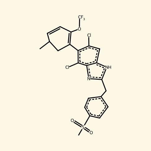 CC1C=CC(OC(F)(F)F)=C(c2c(Cl)cc3[nH]c(Cc4ccc(S(C)(=O)=O)cc4)nc3c2Cl)C1